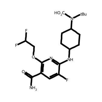 CC(C)(C)N(C(=O)O)C1CCC(Nc2nc(OCC(F)F)c(C(N)=O)cc2F)CC1